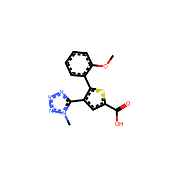 COc1ccccc1-c1sc(C(=O)O)cc1-c1nnnn1C